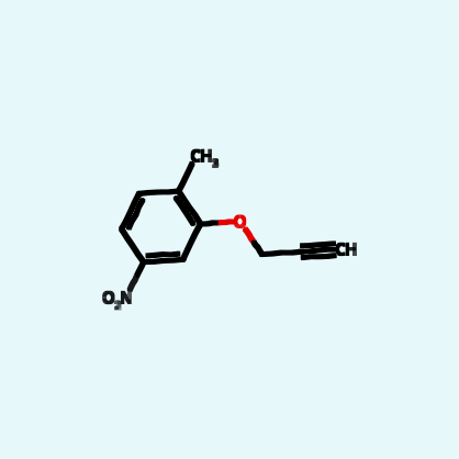 C#CCOc1cc([N+](=O)[O-])ccc1C